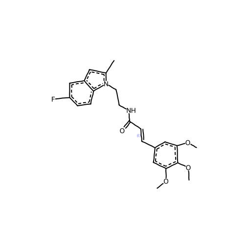 COc1cc(/C=C/C(=O)NCCn2c(C)cc3cc(F)ccc32)cc(OC)c1OC